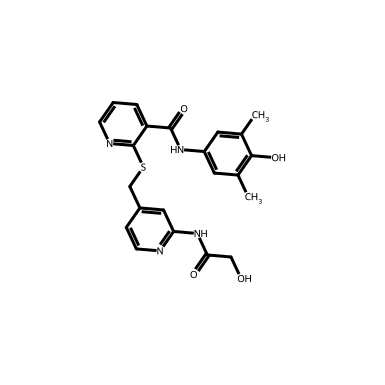 Cc1cc(NC(=O)c2cccnc2SCc2ccnc(NC(=O)CO)c2)cc(C)c1O